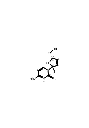 Nc1ccn([C@@]2(F)C=C[C@@H](CO)O2)c(=O)n1